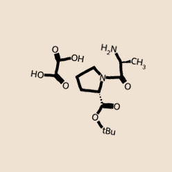 C[C@H](N)C(=O)N1CCC[C@H]1C(=O)OC(C)(C)C.O=C(O)C(=O)O